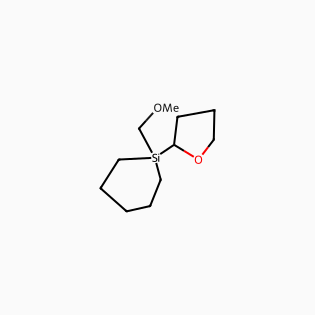 COC[Si]1(C2CCCO2)CCCCC1